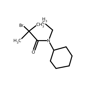 CCN(C(=O)C(C)(C)Br)C1CCCCC1